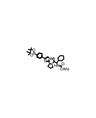 COC(=O)NC(C(=O)N1CCC[C@H]1c1nc(-c2ccc(B3OC(C)(C)C(C)(C)O3)cc2)c[nH]1)C1CCCCC1